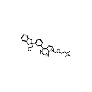 CS(C)(C)CCOCn1ccc2c(-c3cccc(C4(C=O)Cc5ccccc5C4)c3)ncnc21